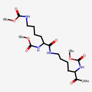 COC(=O)C(CCCCNC(=O)C(CCCCNC(=O)OC(C)(C)C)NC(=O)OC(C)(C)C)NC(=O)OC(C)(C)C